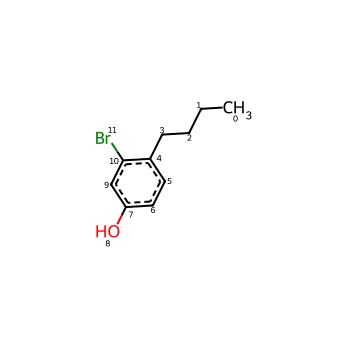 CCCCc1ccc(O)cc1Br